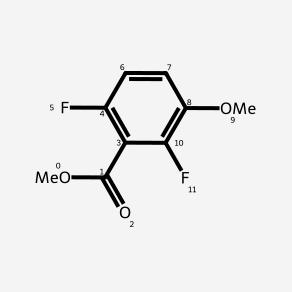 COC(=O)c1c(F)ccc(OC)c1F